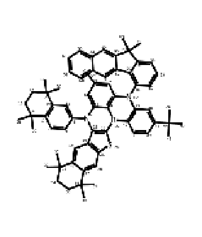 Cc1cc2c3c(c1)N(c1ccc4c(c1)C(C)(C)CCC4(C)C)c1c(sc4cc5c(cc14)C(C)(C)CCC5(C)C)B3c1ccc(C(C)(C)C)cc1N2c1cccc2c1-c1cc3ccccc3cc1C2(C)C